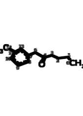 CCCCC(=O)Cc1cccc(C)c1